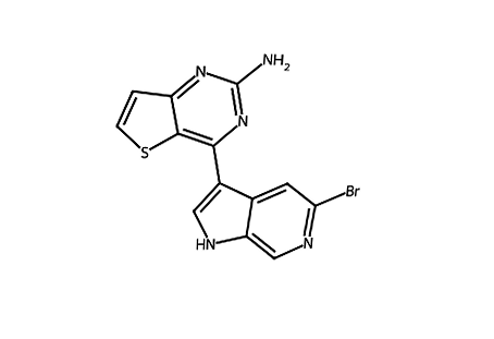 Nc1nc(-c2c[nH]c3cnc(Br)cc23)c2sccc2n1